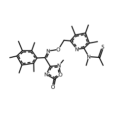 CC(=S)N(C)c1nc(CON=C(c2c(C)c(C)c(C)c(C)c2C)c2nc(=O)on2C)c(C)c(C)c1C